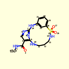 CC(C)(C)NC(=O)c1cnc2nc1NCCCNS(=O)(=O)c1cccc(c1)N2